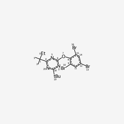 CCC(C)(C)c1nc(Oc2c(Br)cc(Br)cc2Br)nc(C(C)(C)C)n1